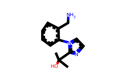 CC(C)(O)c1nccn1-c1ccccc1CN